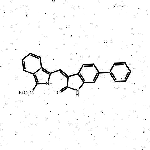 CCOC(=O)c1[nH]c(C=C2C(=O)Nc3cc(-c4ccccc4)ccc32)c2ccccc12